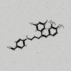 Cc1ccc(/C=C(/CCCSc2ccc(C=O)cc2)c2cc(F)cc(F)c2)cc1C